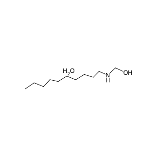 CCCCCCCCCCNCO.O